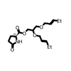 CCC=CCOCC(COC(=O)[C@@H]1CCC(=O)N1)OCC=CCC